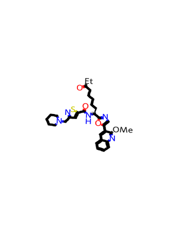 CCC(=O)CCCCC[C@H](NC(=O)c1cc(CN2CCCCC2)ns1)c1ncc(-c2cc3ccccc3nc2OC)o1